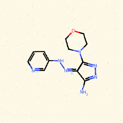 NC1=NN=C(N2CCOCC2)/C1=N\Nc1cccnc1